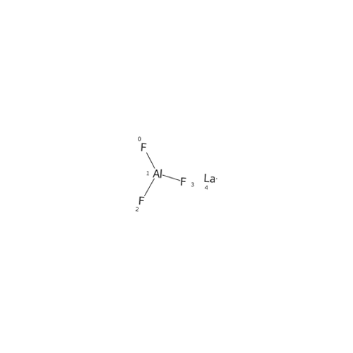 [F][Al]([F])[F].[La]